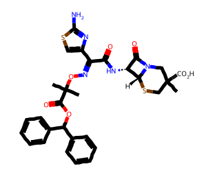 CC1(C(=O)O)CS[C@@H]2[C@H](NC(=O)C(=NOC(C)(C)C(=O)OC(c3ccccc3)c3ccccc3)c3csc(N)n3)C(=O)N2C1